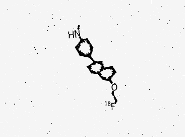 CNc1ccc(-c2ccc3cc(OCC[18F])ccc3c2)cc1